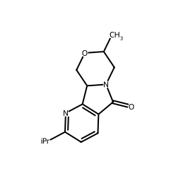 CC1CN2C(=O)c3ccc(C(C)C)nc3C2CO1